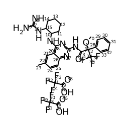 CO[C@@](C(=O)Nc1nc(NC2CCCCC2NC(=N)N)c2cc(C)ccc2n1)(c1ccccc1)C(F)(F)F.O=C(O)C(F)(F)F.O=C(O)C(F)(F)F